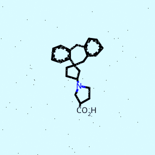 O=C(O)C1CCN(C2CCC3(Cc4ccccc4Cc4ccccc43)C2)C1